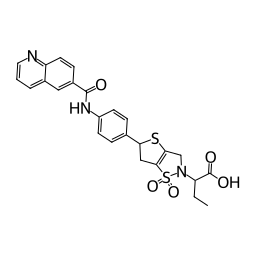 CCC(C(=O)O)N1CC2=C(CC(c3ccc(NC(=O)c4ccc5ncccc5c4)cc3)S2)S1(=O)=O